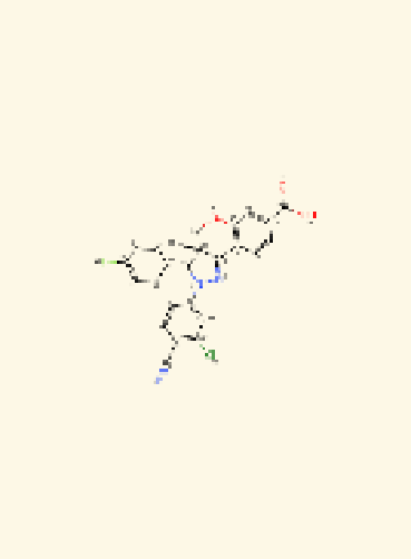 N#Cc1ccc(N2N=C3c4ccc(C(=O)O)cc4OC[C@H]3[C@H]2C2C=CC(F)=CC2)cc1Cl